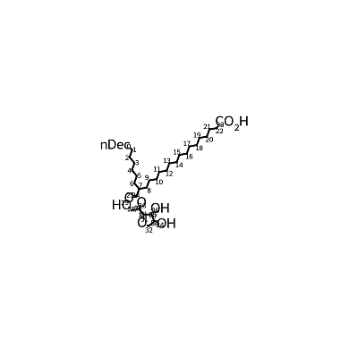 CCCCCCCCCCCCCCCCC(CCCCCCCCCCCCCCCC(=O)O)C(=O)O[C@H](CO)[C@H]1OC[C@H](O)[C@H]1O